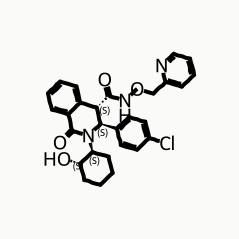 O=C(NOCc1ccccn1)[C@H]1c2ccccc2C(=O)N([C@H]2CCCC[C@@H]2O)[C@@H]1c1ccc(Cl)cc1